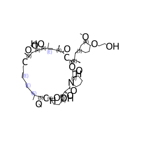 CO[C@H]1C[C@@H]2CC[C@@H](C)[C@@](O)(O2)C(=O)C(=O)N2CCCC[C@H]2C(=O)O[C@H]([C@H](C)C[C@@H]2CCC(OCCO)[C@H](OC)C2)CC(=O)[C@H](C)/C=C(\C)[C@@H](O)[C@@H](OC)C(=O)[C@H](C)CC/C=C/C=C/C=C/1C